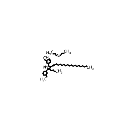 CCCCCCCCCCCCCCCCCCC#CC1=C(c2cccc(CC)c2)[N+](=[N-])C(c2cccc(CC)c2)=C1CCCC.CCC[CH2][Ni][CH2]CCC